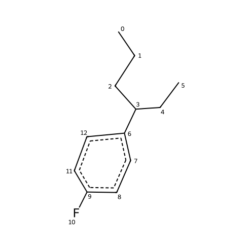 CCCC(CC)c1ccc(F)cc1